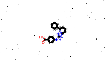 O=C(O)c1ccc(Nc2nc3cccc(-c4ccccc4)n3n2)cc1